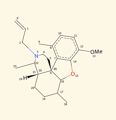 C=CCN1CC[C@@]23c4c(C)ccc(OC)c4OC2C(C)CC[C@@H]3C1C